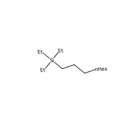 CCCCCCCCC[Si](CC)(CC)CC